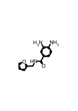 Nc1ccc(C(=O)NCc2ccco2)cc1N